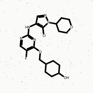 OC1CCC(COc2nc(Nc3cnn(C4CCOCC4)c3Cl)ncc2F)CC1